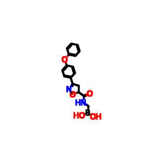 O=C(NCB(O)O)C1CC(c2ccc(Oc3ccccc3)cc2)=NO1